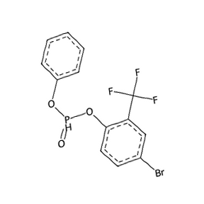 O=[PH](Oc1ccccc1)Oc1ccc(Br)cc1C(F)(F)F